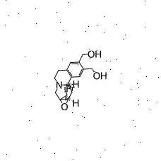 CC(C)CC12CN3CCc4cc(CO)c(CO)cc4[C@H]3C[C@H]1O2